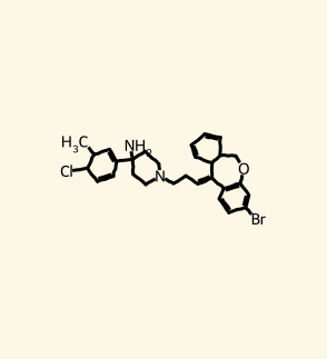 CC1C=C(C2(N)CCN(CCC=C3c4ccc(Br)cc4OCC4C=CC=CC34)CC2)C=CC1Cl